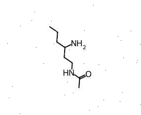 CCCC(N)CCNC(C)=O